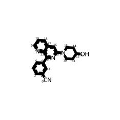 N#Cc1cccc(-c2nc(N3CCC(O)CC3)cc3cccnc23)c1